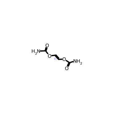 NC(=O)O/C=C/OC(N)=O